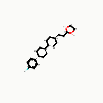 Fc1ccc([C@H]2CC[C@H]([C@H]3CC[C@H](CCC4OCCO4)CC3)CC2)cc1